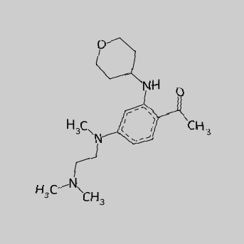 CC(=O)c1ccc(N(C)CCN(C)C)cc1NC1CCOCC1